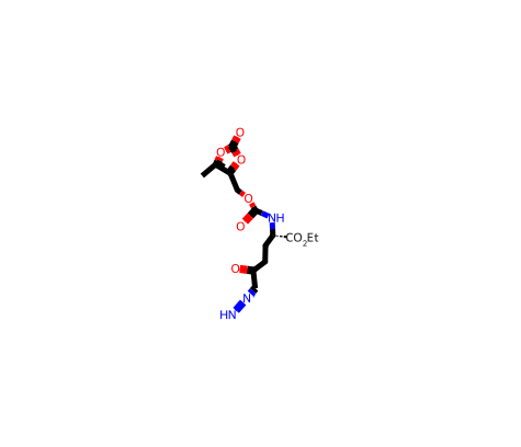 CCOC(=O)[C@H](CCC(=O)C=[N+]=N)NC(=O)OCc1oc(=O)oc1C